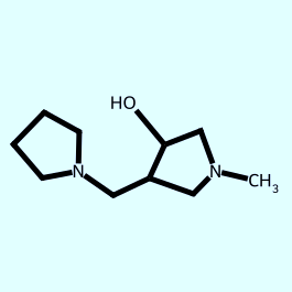 CN1CC(O)C(CN2CCCC2)C1